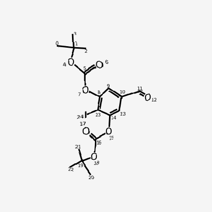 CC(C)(C)OC(=O)Oc1cc(C=O)cc(OC(=O)OC(C)(C)C)c1I